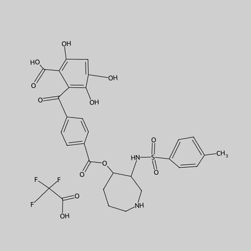 Cc1ccc(S(=O)(=O)NC2CNCCCC2OC(=O)c2ccc(C(=O)c3c(O)c(O)cc(O)c3C(=O)O)cc2)cc1.O=C(O)C(F)(F)F